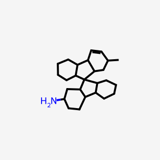 CC1C=CC2C3CCCCC3C3(C2C1)C1CCCCC1C1CCC(N)CC13